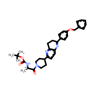 C[C@@H](NC(=O)OC(C)(C)C)C(=O)N1CCC(c2ccc3c(n2)CCC(c2ccc(OCc4ccccc4)cc2)=N3)CC1